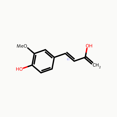 C=C(O)/C=C/c1ccc(O)c(OC)c1